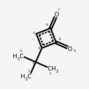 CC(C)(C)c1cc(=O)c1=O